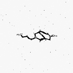 CCCCN1CC2CN(C)CC2C1